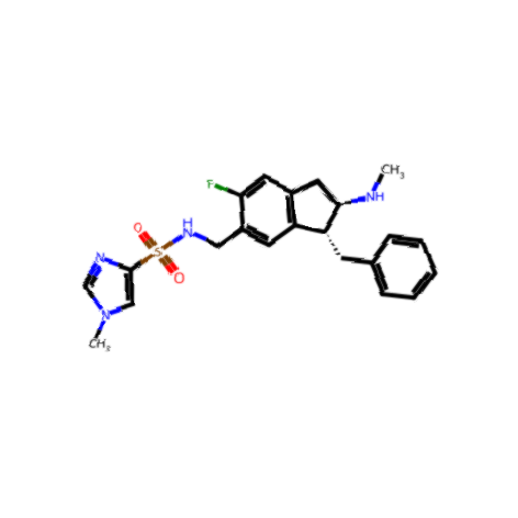 CN[C@@H]1Cc2cc(F)c(CNS(=O)(=O)c3cn(C)cn3)cc2[C@H]1Cc1ccccc1